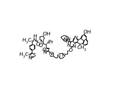 Cc1ncsc1-c1ccc([C@H](C)NC(=O)[C@@H]2C[C@@H](O)CN2C(=O)[C@H](c2cc(N3CC(CN4CCN(CCOc5nc(N6CC7CCC(C6)N7)c6cnc7c(c6n5)C(C)c5cccc6cc(O)cc-7c56)CC4)C3)no2)C(C)C)cc1